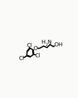 NC(CO)CCCOc1c(Cl)cc(Cl)cc1Cl